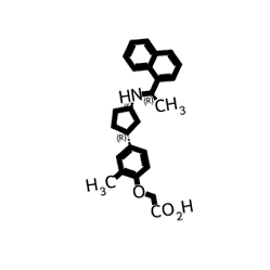 Cc1cc([C@@H]2CC[C@H](N[C@H](C)c3cccc4ccccc34)C2)ccc1OCC(=O)O